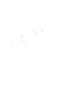 O=C(c1nn2c(C(F)(F)F)cc(-c3ccccc3)nc2c1Cl)N1CCN2CCC=C2C1